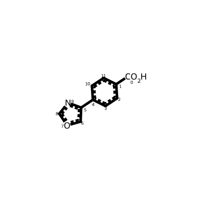 O=C(O)c1ccc(-c2cocn2)cc1